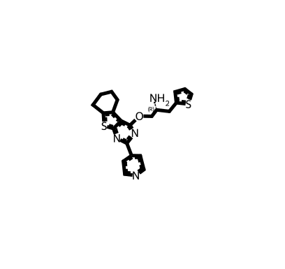 N[C@@H](COc1nc(-c2ccncc2)nc2sc3c(c12)CCCC3)Cc1cccs1